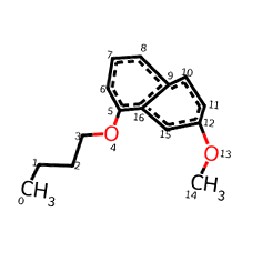 CCCCOc1cccc2ccc(OC)cc12